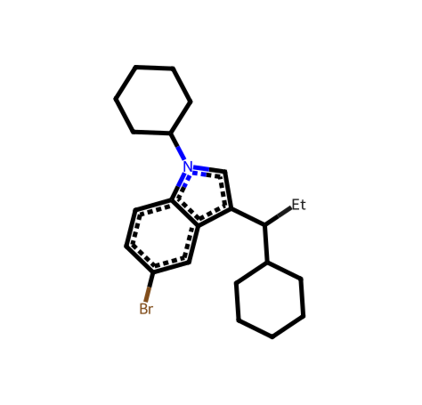 [CH2]CC(c1cn(C2CCCCC2)c2ccc(Br)cc12)C1CCCCC1